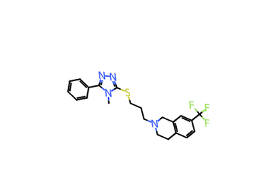 Cn1c(SCCCN2CCc3ccc(C(F)(F)F)cc3C2)nnc1-c1ccccc1